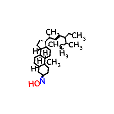 CC[C@H](/C=C/[C@@H](C)[C@H]1CC[C@H]2[C@@H]3CC[C@H]4C/C(=N\O)CC[C@]4(C)[C@H]3CC[C@]12C)C(C)C